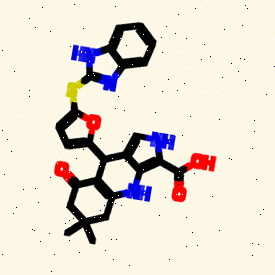 CC1(C)CC(=O)C2=C(C1)Nc1c(c[nH]c1C(=O)O)C2c1ccc(Sc2nc3ccccc3[nH]2)o1